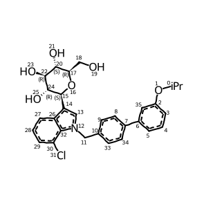 CC(C)Oc1cccc(-c2ccc(Cn3cc([C@@H]4O[C@H](CO)[C@@H](O)[C@H](O)[C@H]4O)c4cccc(Cl)c43)cc2)c1